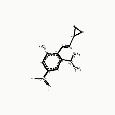 C[C@H](N)c1cc([N+](=O)[O-])ccc1/C=C/C1CC1.Cl